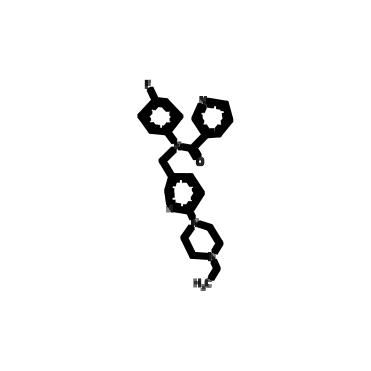 CCN1CCN(c2ccc(CN(C(=O)c3cccnc3)c3ccc(F)cc3)cn2)CC1